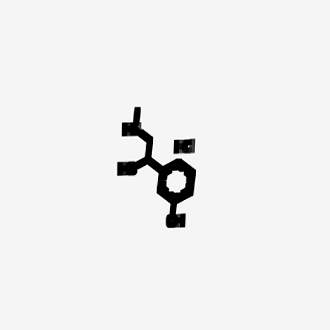 CNCC(O)c1cccc(O)c1.Cl